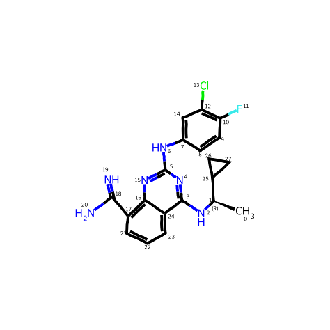 C[C@@H](Nc1nc(Nc2ccc(F)c(Cl)c2)nc2c(C(=N)N)cccc12)C1CC1